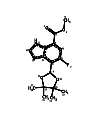 COC(=O)c1cc(F)c(B2OC(C)(C)C(C)(C)O2)c2cc[nH]c12